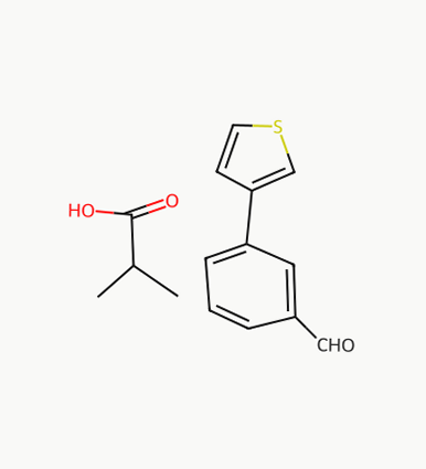 CC(C)C(=O)O.O=Cc1cccc(-c2ccsc2)c1